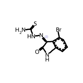 NC(=S)N/N=C1\C(=O)Nc2cccc(Br)c21